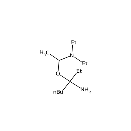 CCCCC(N)(CC)OC(C)N(CC)CC